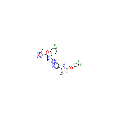 Cc1nonc1C(=O)N[C@H](c1cn2ncc([C@H](NC(=O)COC3CC(F)(F)C3)C3CC3)cc2n1)C1CCC(F)(F)CC1